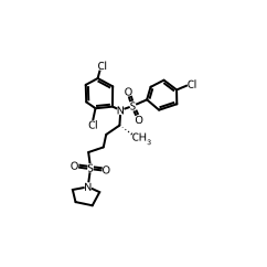 C[C@H](CCCS(=O)(=O)N1CCCC1)N(c1cc(Cl)ccc1Cl)S(=O)(=O)c1ccc(Cl)cc1